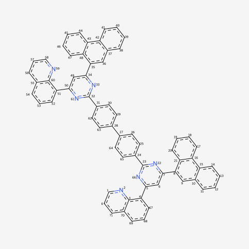 c1cnc2c(-c3cc(-c4cc5ccccc5c5ccccc45)nc(-c4ccc(-c5ccc(-c6nc(-c7cc8ccccc8c8ccccc78)cc(-c7cccc8cccnc78)n6)cc5)cc4)n3)cccc2c1